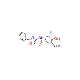 O=Cc1cc(C(=O)Nc2coc(-c3ccccc3)n2)cc(F)c1O